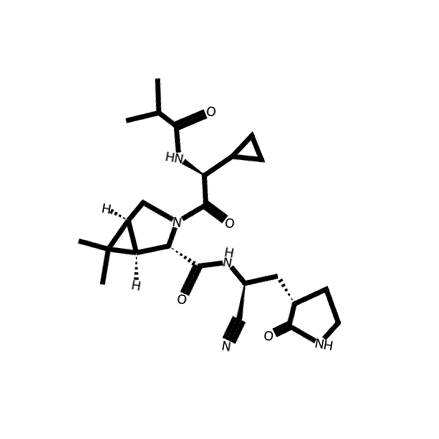 CC(C)C(=O)N[C@H](C(=O)N1C[C@H]2[C@@H]([C@H]1C(=O)N[C@H](C#N)C[C@@H]1CCNC1=O)C2(C)C)C1CC1